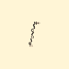 CCOCCOCCOCC[NH]